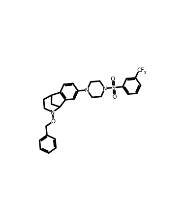 O=S(=O)(c1cccc(C(F)(F)F)c1)N1CCN(c2ccc3c(c2)C2CC3CCN2OCc2ccccc2)CC1